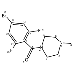 CN1CCN(C(=O)c2c(F)cc(Br)cc2F)CC1